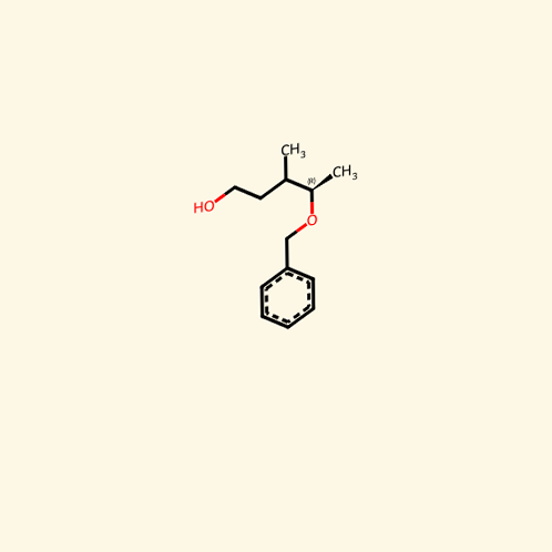 CC(CCO)[C@@H](C)OCc1ccccc1